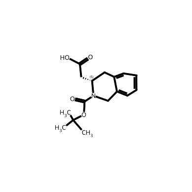 CC(C)(C)OC(=O)N1Cc2ccccc2C[C@H]1CC(=O)O